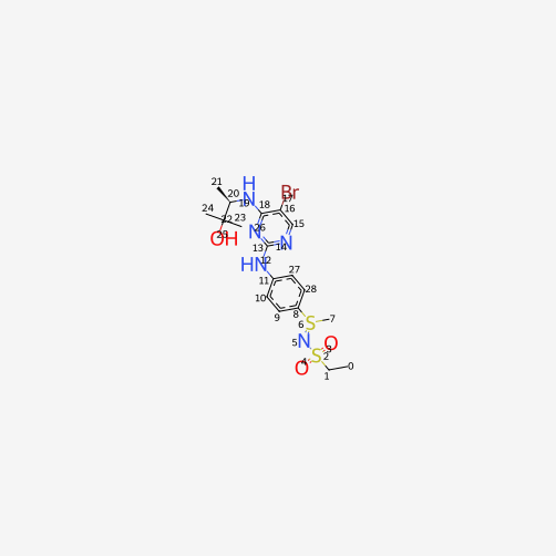 CCS(=O)(=O)/N=S(\C)c1ccc(Nc2ncc(Br)c(N[C@H](C)C(C)(C)O)n2)cc1